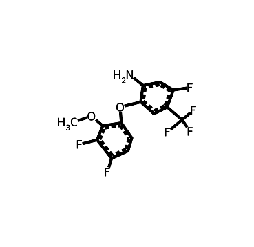 COc1c(Oc2cc(C(F)(F)F)c(F)cc2N)ccc(F)c1F